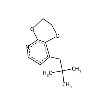 CC(C)(C)Cc1ccnc2c1OCCO2